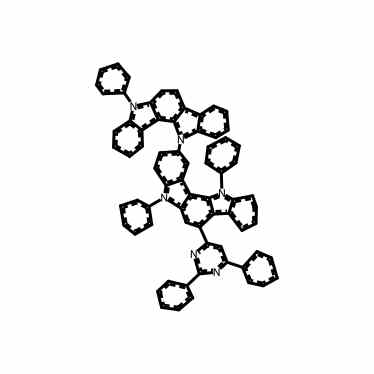 c1ccc(-c2cc(-c3cc4c(c5cc(-n6c7ccccc7c7ccc8c(c9ccccc9n8-c8ccccc8)c76)ccc5n4-c4ccccc4)c4c3c3ccccc3n4-c3ccccc3)nc(-c3ccccc3)n2)cc1